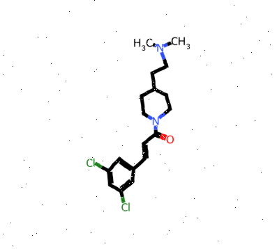 CN(C)CCC1CCN(C(=O)C=Cc2cc(Cl)cc(Cl)c2)CC1